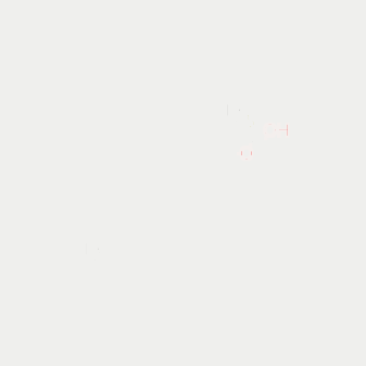 CCCCCCCCCCCCCCCCOC(CO)CSC